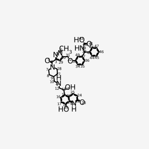 Cn1nc(C(=O)N2CCC(CNC[C@@H](O)c3ccc(O)c4[nH]c(=O)ccc34)CC2)cc1COc1cccc(C(NC(=O)O)c2ccccc2)c1